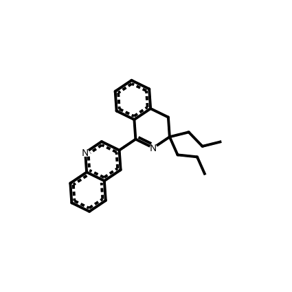 CCCC1(CCC)Cc2ccccc2C(c2cnc3ccccc3c2)=N1